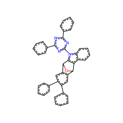 c1ccc(-c2nc(-c3ccccc3)nc(-n3c4c(c5ccccc53)C3OC4c4cc(-c5ccccc5)c(-c5ccccc5)cc43)n2)cc1